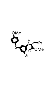 COC(=O)[C@H](CC(C)C)Nc1cc(Br)cc(Sc2ccc(OC)cc2)c1